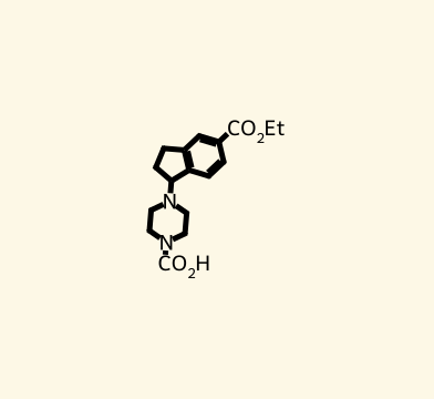 CCOC(=O)c1ccc2c(c1)CCC2N1CCN(C(=O)O)CC1